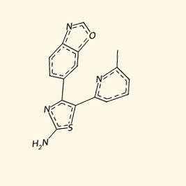 Cc1cccc(-c2sc(N)nc2-c2ccc3ncoc3c2)n1